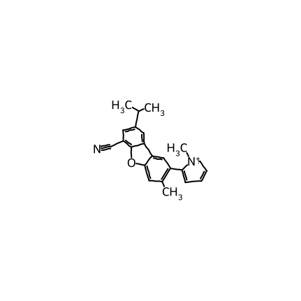 Cc1cc2oc3c(C#N)cc(C(C)C)cc3c2cc1-c1cccc[n+]1C